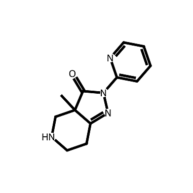 CC12CNCCC1=NN(c1ccccn1)C2=O